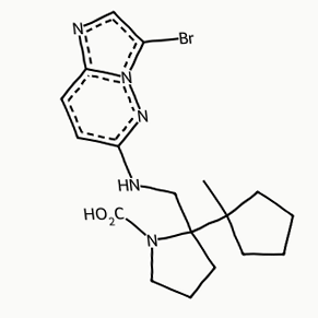 CC1(C2(CNc3ccc4ncc(Br)n4n3)CCCN2C(=O)O)CCCC1